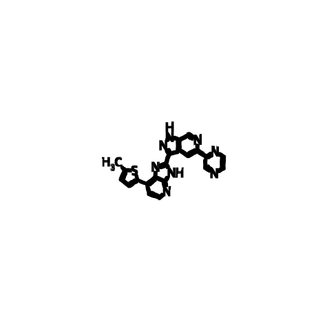 Cc1ccc(-c2ccnc3[nH]c(-c4n[nH]c5cnc(-c6cnccn6)cc45)nc23)s1